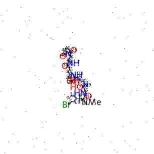 C/C=C\C(=C/CBr)C(C)(C)C(NC)C(=O)NCC(O)N(C)C/C=C(\C)C(=O)NC(CO)CCC(=O)NCCN1C(=O)C=CC1=O